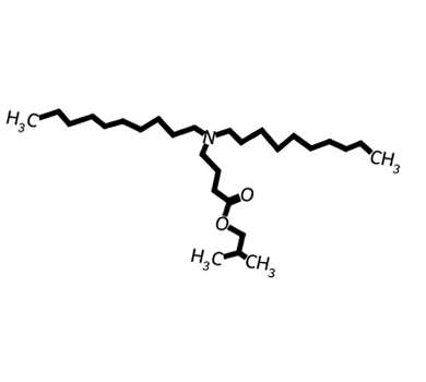 CCCCCCCCCCN(CCCCCCCCCC)CCCC(=O)OCC(C)C